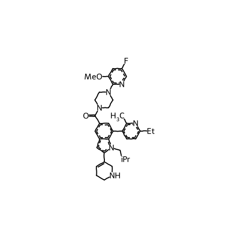 CCc1ccc(-c2cc(C(=O)N3CCN(c4ncc(F)cc4OC)CC3)cc3cc(C4=CCCNC4)n(CC(C)C)c23)c(C)n1